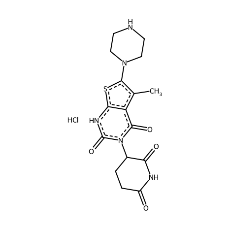 Cc1c(N2CCNCC2)sc2[nH]c(=O)n(C3CCC(=O)NC3=O)c(=O)c12.Cl